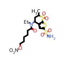 CCN(C(=O)CCCCCO[N+](=O)[O-])[C@H]1CC(C)S(=O)(=O)c2sc(S(N)(=O)=O)cc21